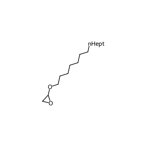 CCCCCCCCCCCCCCOC1CO1